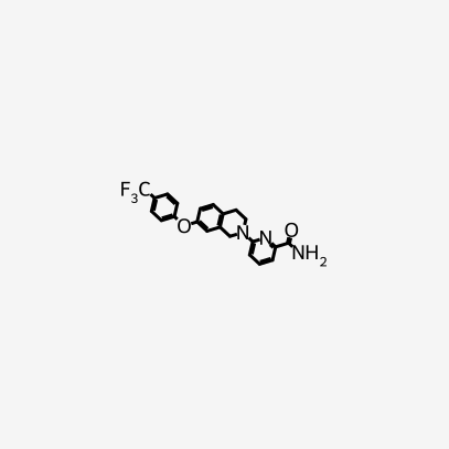 NC(=O)c1cccc(N2CCc3ccc(Oc4ccc(C(F)(F)F)cc4)cc3C2)n1